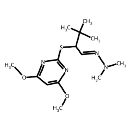 COc1cc(OC)nc(SC(C=NN(C)C)C(C)(C)C)n1